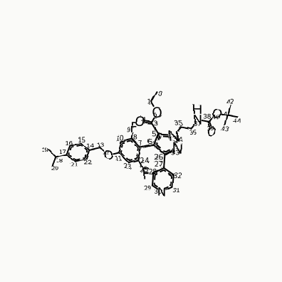 CCOC(=O)c1c(-c2c(F)cc(OCc3ccc(C(C)C)cc3)cc2F)c(-c2ccncc2)nn1CCNC(=O)OC(C)(C)C